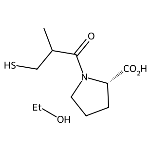 CC(CS)C(=O)N1CCC[C@H]1C(=O)O.CCO